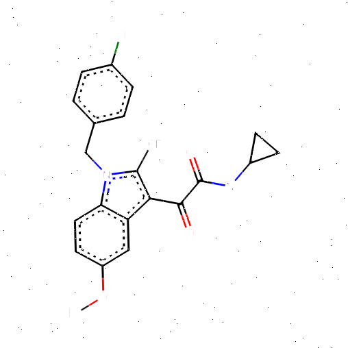 CCOc1ccc2c(c1)c(C(=O)C(=O)NC1CC1)c(C(F)(F)F)n2Cc1ccc(Cl)cc1